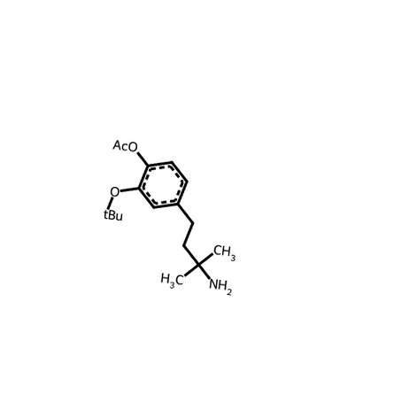 CC(=O)Oc1ccc(CCC(C)(C)N)cc1OC(C)(C)C